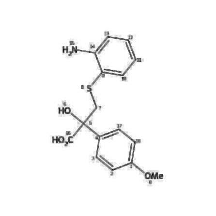 COc1ccc(C(O)(CSc2ccccc2N)C(=O)O)cc1